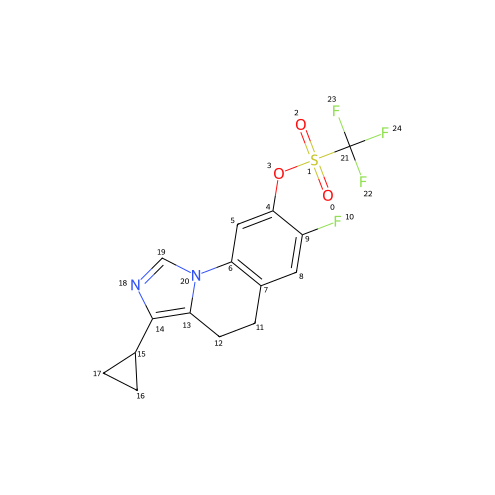 O=S(=O)(Oc1cc2c(cc1F)CCc1c(C3CC3)ncn1-2)C(F)(F)F